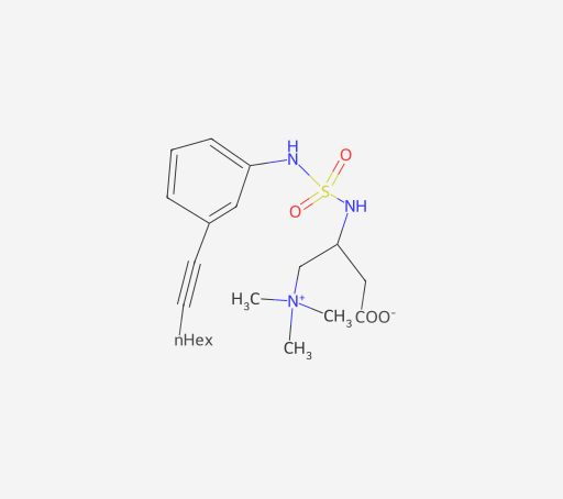 CCCCCCC#Cc1cccc(NS(=O)(=O)NC(CC(=O)[O-])C[N+](C)(C)C)c1